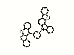 c1cc(-c2c3ccccc3nc3sc4ccccc4c23)cc(-n2c3ccccc3c3c4oc5ccccc5c4ccc32)c1